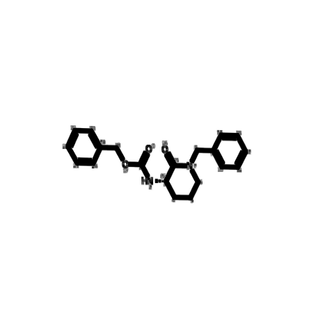 O=C(N[C@H]1CCCN(Cc2ccccc2)C1=O)OCc1ccccc1